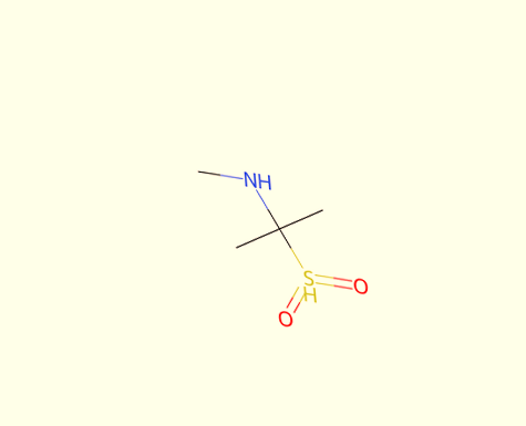 CNC(C)(C)[SH](=O)=O